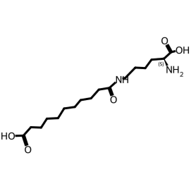 N[C@@H](CCCCNC(=O)CCCCCCCCCC(=O)O)C(=O)O